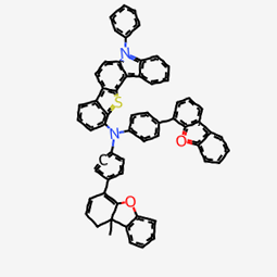 CC12CC=CC(c3ccc(N(c4ccc(-c5cccc6c5oc5ccccc56)cc4)c4cccc5c4sc4c5ccc5c4c4ccccc4n5-c4ccccc4)cc3)=C1Oc1ccccc12